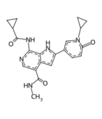 CNC(=O)c1cnc(NC(=O)C2CC2)c2[nH]c(-c3ccc(=O)n(C4CC4)c3)cc12